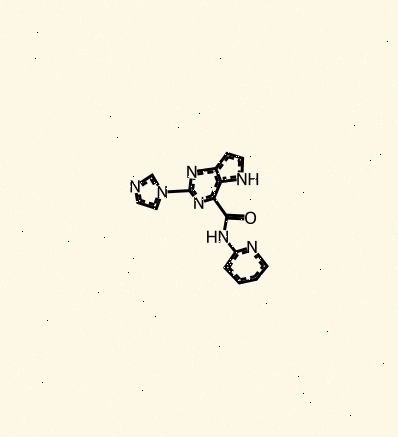 O=C(Nc1ccccn1)c1nc(-n2ccnc2)nc2cc[nH]c12